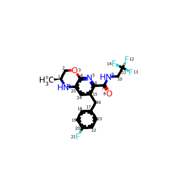 C[C@H]1COc2nc(C(=O)NCC(F)(F)F)c(Cc3ccc(F)cc3)cc2N1